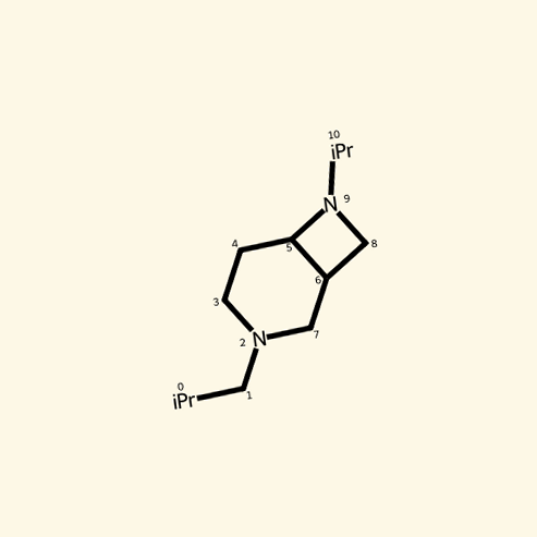 CC(C)CN1CCC2C(C1)CN2C(C)C